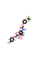 O=C(COc1ccc(OC(F)(F)F)cc1)NC12CCC(NC(=O)COc3ccc(Cl)cc3)(CC1)[C@@H](O)C2